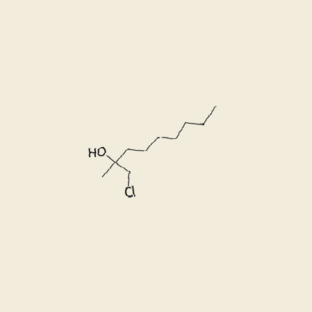 CCCCCCCC(C)(O)CCl